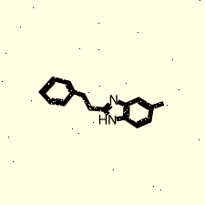 Cc1ccc2[nH]c(CCc3ccccc3)nc2c1